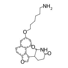 NCCCCCCOc1ccc2c(ccc3occ(C4CCC(=O)NC4=O)c32)c1